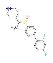 CC(C1CCNCC1)[S+]([O-])c1ccc(-c2ccc(F)cc2F)cc1